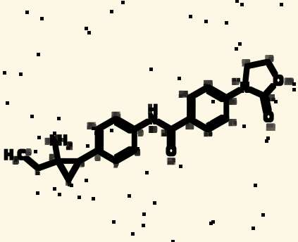 CCC1(N)CC1c1ccc(NC(=O)c2ccc(N3CCOC3=O)cc2)cc1